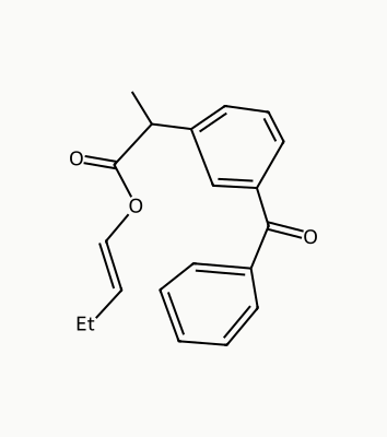 CCC=COC(=O)C(C)c1cccc(C(=O)c2ccccc2)c1